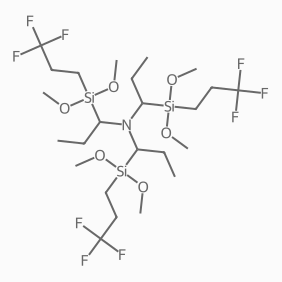 CCC(N(C(CC)[Si](CCC(F)(F)F)(OC)OC)C(CC)[Si](CCC(F)(F)F)(OC)OC)[Si](CCC(F)(F)F)(OC)OC